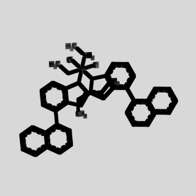 CCC1=Cc2c(-c3cccc4ccccc34)cccc2[CH]1[Zr]([Cl])([Cl])([CH2]C)([SiH2]C)[CH]1C(CC)=Cc2c(-c3cccc4ccccc34)cccc21